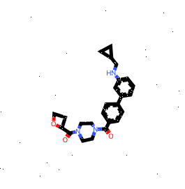 O=C(c1ccc(-c2cccc(NCC3CC3)c2)cc1)N1CCN(C(=O)C2CCO2)CC1